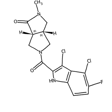 CN1C[C@@H]2CN(C(=O)c3[nH]c4ccc(F)c(Cl)c4c3Cl)C[C@@H]2C1=O